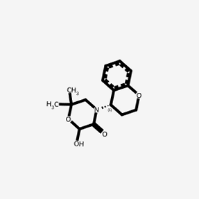 CC1(C)CN([C@H]2CCOc3ccccc32)C(=O)C(O)O1